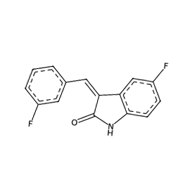 O=C1Nc2ccc(F)cc2C1=Cc1cccc(F)c1